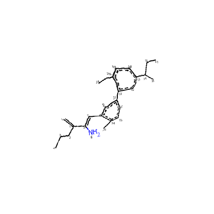 C=C(CCC)/C(N)=C/c1cc(-c2cc(C(C)CC)ccc2C)ccc1C